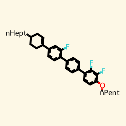 CCCCCCCC1CC=C(c2ccc(-c3ccc(-c4ccc(OCCCCC)c(F)c4F)cc3)c(F)c2)CC1